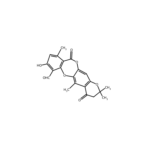 Cc1cc(O)c(C=O)c2c1C(=O)Oc1cc3c(c(C)c1O2)C(=O)CC(C)(C)O3